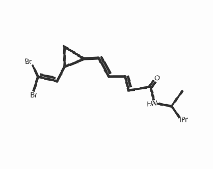 CC(C)C(C)NC(=O)C=CC=CC1CC1C=C(Br)Br